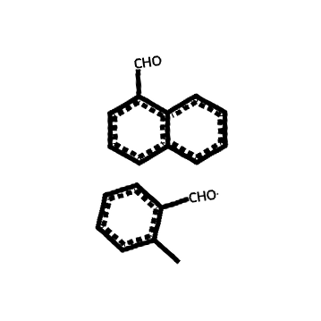 Cc1ccccc1[C]=O.O=Cc1cccc2ccccc12